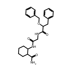 NC(=O)C1CCCCC1NC(=O)CNC(=O)C(Cc1ccccc1)OCc1ccccc1